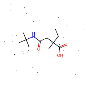 CCC(C)(CC(=O)NC(C)(C)C)C(=O)O